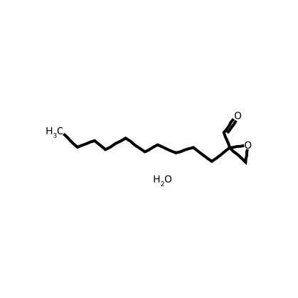 CCCCCCCCCCC1(C=O)CO1.O